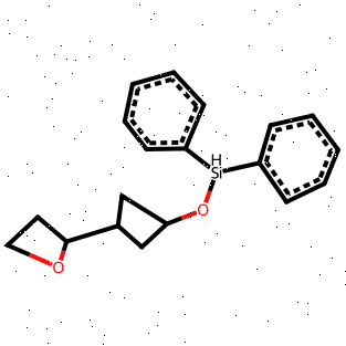 c1ccc([SiH](OC2CC(C3CCO3)C2)c2ccccc2)cc1